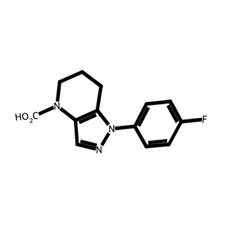 O=C(O)N1CCCc2c1cnn2-c1ccc(F)cc1